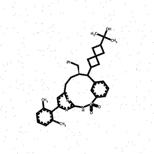 Cc1cccc(C)c1-c1cc2nc(n1)NS(=O)(=O)c1cccc(c1)C(C1CC3(C1)CC(C(C)(C)O)C3)[C@H](CC(C)C)CC2